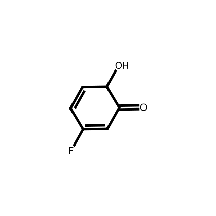 O=C1C=C(F)C=CC1O